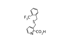 O=C(O)c1ncccc1CSCc1ccccc1C(F)(F)F